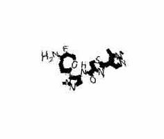 Cc1c(-c2nc(C(=O)Nc3cnn(C)c3[C@@H]3CC[C@@H](N)[C@H](F)CO3)cs2)cnn1C